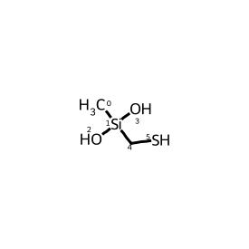 C[Si](O)(O)CS